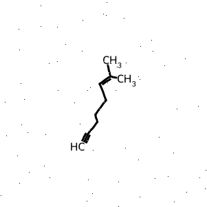 C#CCCCC=C(C)C